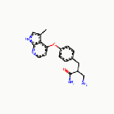 Cc1c[nH]c2nccc(Oc3ccc(CC(CN)C(N)=O)cc3)c12